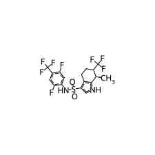 C[C@H]1c2[nH]cc(S(=O)(=O)Nc3cc(F)c(C(F)(F)F)cc3F)c2CCC1C(F)(F)F